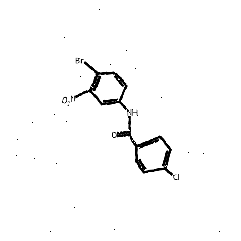 O=C(Nc1ccc(Br)c([N+](=O)[O-])c1)c1ccc(Cl)cc1